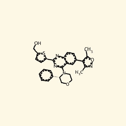 Cc1noc(C)c1-c1ccc2nc(-c3ccc(CO)s3)nc(N3CCOC[C@@H]3c3ccccc3)c2c1